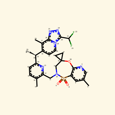 Cc1cnc2c(c1)S(=O)(=O)N(Cc1nc([C@H](c3ccn4c(C(F)F)nnc4c3C)C(C)C)ccc1C)CC1(CC1)O2